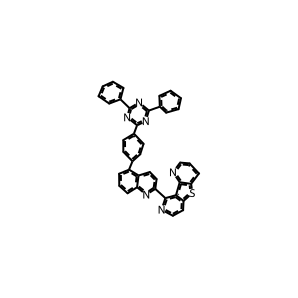 c1ccc(-c2nc(-c3ccccc3)nc(-c3ccc(-c4cccc5nc(-c6nccc7sc8cccnc8c67)ccc45)cc3)n2)cc1